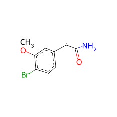 COc1cc([CH]C(N)=O)ccc1Br